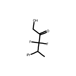 CC(C)C(C)C(F)(F)C(=O)CO